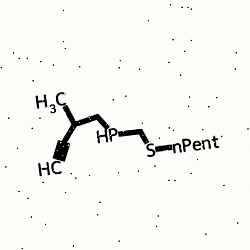 C#CC(C)CPCSCCCCC